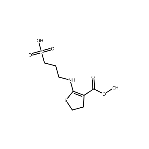 COC(=O)C1=C(NCCCS(=O)(=O)O)SCC1